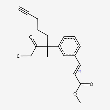 C#CCCCC(C)(C(=O)CCl)c1cccc(/C=C/C(=O)OC)c1